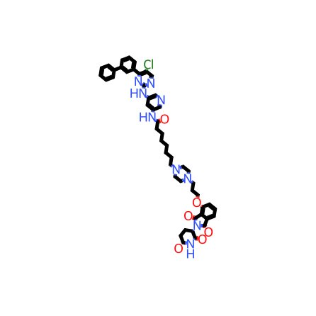 O=C1CCC(N2C(=O)c3cccc(OCCCN4CCN(CCCCCCCC(=O)Nc5cncc(Nc6ncc(Cl)c(-c7cccc(-c8ccccc8)c7)n6)c5)CC4)c3C2=O)C(=O)N1